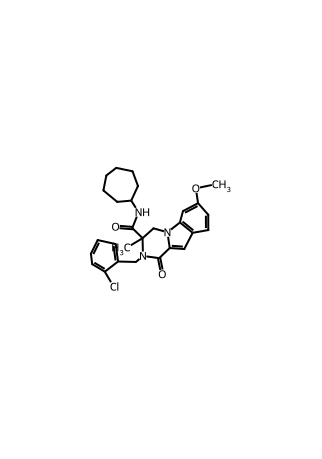 COc1ccc2cc3n(c2c1)CC(C)(C(=O)NC1CCCCCC1)N(Cc1ccccc1Cl)C3=O